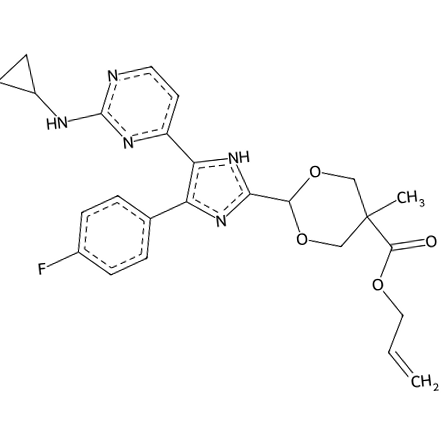 C=CCOC(=O)C1(C)COC(c2nc(-c3ccc(F)cc3)c(-c3ccnc(NC4CC4)n3)[nH]2)OC1